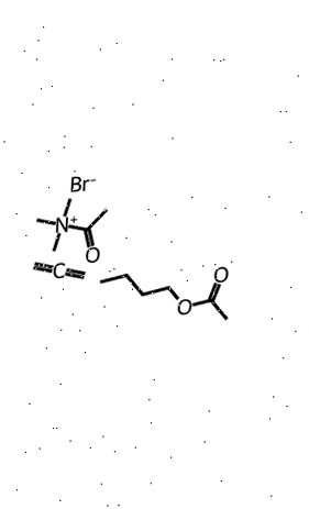 C=C=C.CC(=O)[N+](C)(C)C.CCCCOC(C)=O.[Br-]